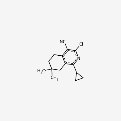 CC1(C)CCc2c(C#N)c(Cl)nc(C3CC3)c2C1